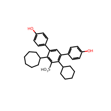 O=S(=O)(O)c1c(C2CCCCCC2)c(-c2ccc(O)cc2)cc(-c2ccc(O)cc2)c1C1CCCCC1